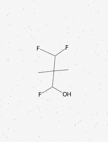 CC(C)(C(O)F)C(F)F